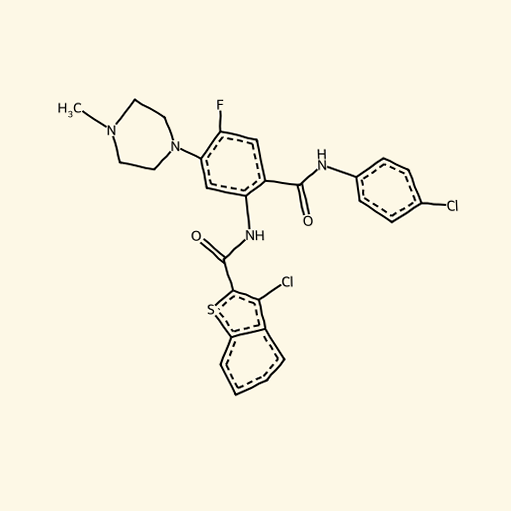 CN1CCN(c2cc(NC(=O)c3sc4ccccc4c3Cl)c(C(=O)Nc3ccc(Cl)cc3)cc2F)CC1